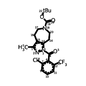 Cc1nn(C(=O)c2c(Cl)cccc2C(F)(F)F)c2c1CCN(C(=O)OC(C)(C)C)CC2